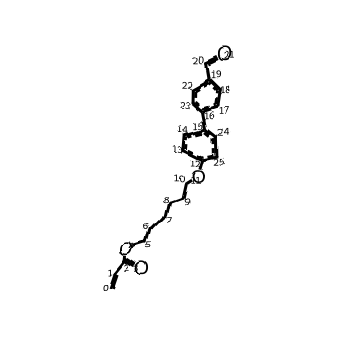 C=CC(=O)OCCCCCCOc1ccc(-c2ccc(C=O)cc2)cc1